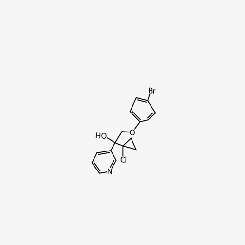 OC(COc1ccc(Br)cc1)(c1cccnc1)C1(Cl)CC1